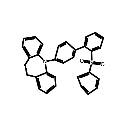 O=S(=O)(c1ccccc1)c1ccccc1-c1ccc(N2c3ccccc3CCc3ccccc32)cc1